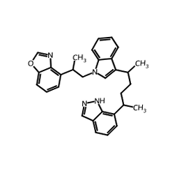 CC(CCC(C)c1cccc2cn[nH]c12)c1cn(CC(C)c2cccc3ocnc23)c2ccccc12